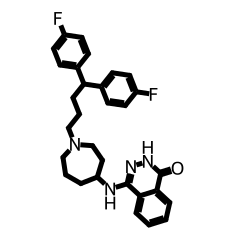 O=c1[nH]nc(NC2CCCN(CCCC(c3ccc(F)cc3)c3ccc(F)cc3)CC2)c2ccccc12